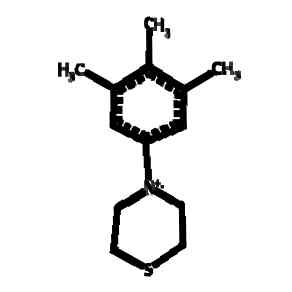 Cc1cc([N+]2CCSCC2)cc(C)c1C